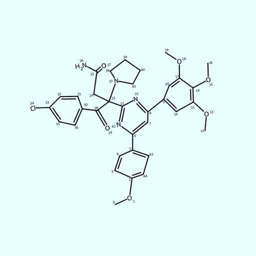 COc1ccc(-c2cc(-c3cc(OC)c(OC)c(OC)c3)nc(C(CC(N)=O)(C(=O)c3ccc(Cl)cc3)N3CCCC3)n2)cc1